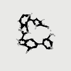 Nc1cncc(-c2cc(F)c3[nH]nc(-c4nc5c(-c6ccc(F)s6)nccc5[nH]4)c3c2)c1